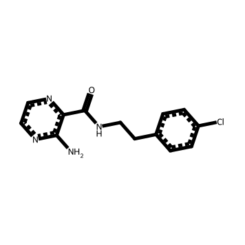 Nc1nccnc1C(=O)NCCc1ccc(Cl)cc1